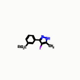 CCOC(=O)c1cccc(-c2n[nH]c(C)c2I)c1